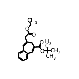 CCOC(=O)CC1=Cc2ccccc2C=C(C(=O)OC(C)(C)C)C1